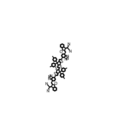 Cc1ccc(C2(c3ccc(C)cc3)c3cc(-c4ccc(/C=C5\C(=O)c6ccccc6C5=C(C#N)C#N)c5nsnc45)sc3-c3sc4c5c(sc4c32)-c2sc(-c3ccc(/C=C4\C(=O)c6ccccc6C4=C(C#N)C#N)c4nsnc34)cc2C5(c2ccc(C)cc2)c2ccc(C)cc2)cc1